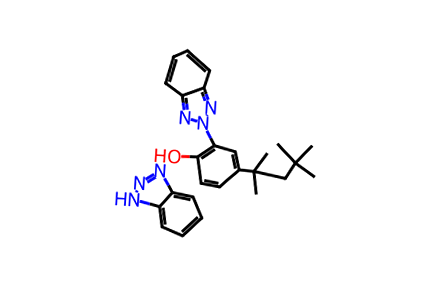 CC(C)(C)CC(C)(C)c1ccc(O)c(-n2nc3ccccc3n2)c1.c1ccc2[nH]nnc2c1